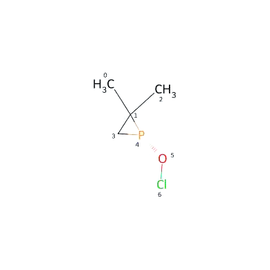 CC1(C)C[P@@]1OCl